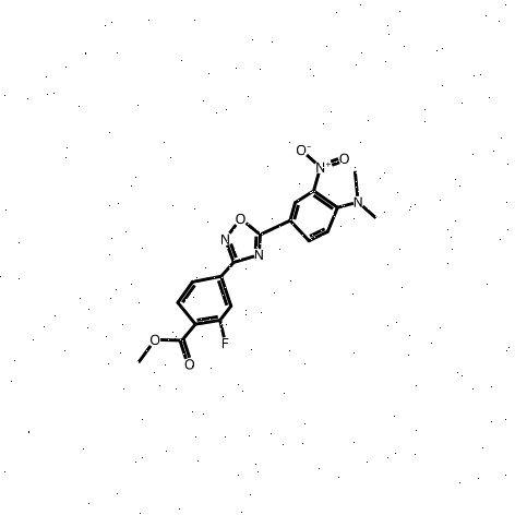 COC(=O)c1ccc(-c2noc(-c3ccc(N(C)C)c([N+](=O)[O-])c3)n2)cc1F